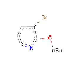 CCCCOc1ncccc1Br